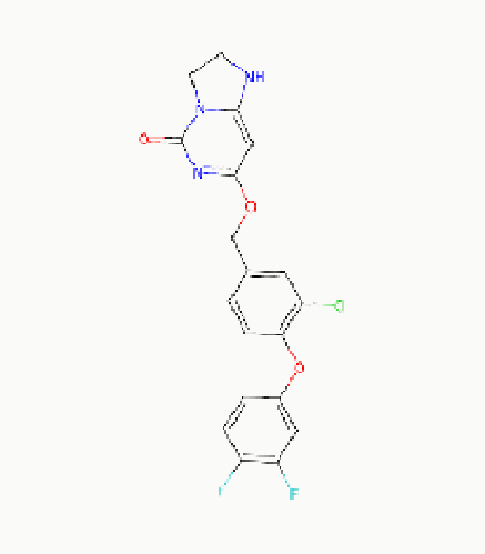 O=c1nc(OCc2ccc(Oc3ccc(F)c(F)c3)c(Cl)c2)cc2n1CCN2